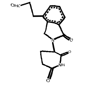 O=CCCc1cccc2c1CN(C1CCC(=O)NC1=O)C2=O